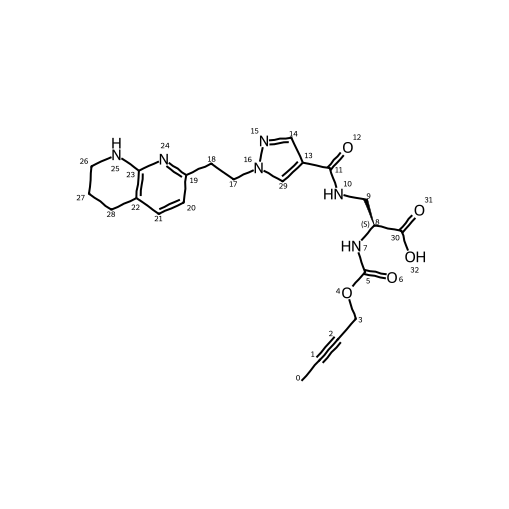 CC#CCOC(=O)N[C@@H](CNC(=O)c1cnn(CCc2ccc3c(n2)NCCC3)c1)C(=O)O